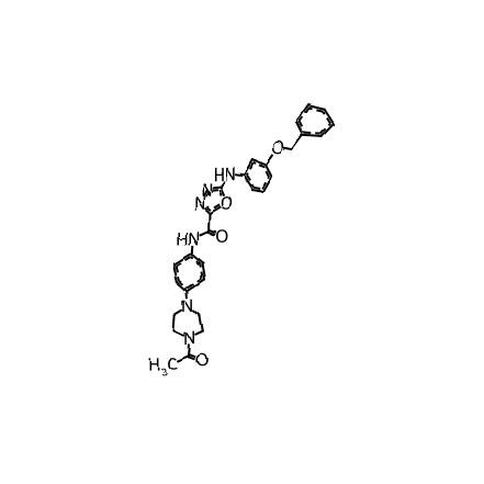 CC(=O)N1CCN(c2ccc(NC(=O)c3nnc(Nc4cccc(OCc5ccccc5)c4)o3)cc2)CC1